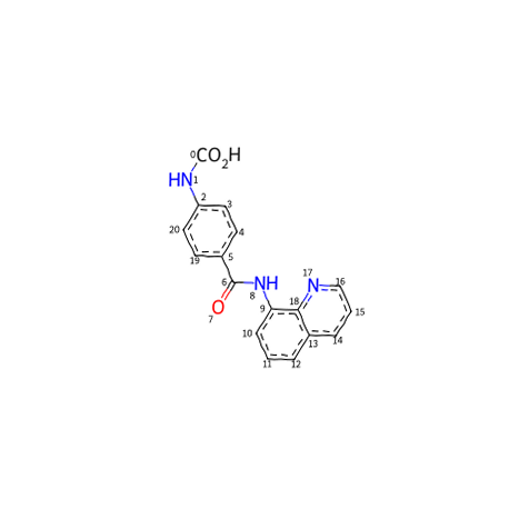 O=C(O)Nc1ccc(C(=O)Nc2cccc3cccnc23)cc1